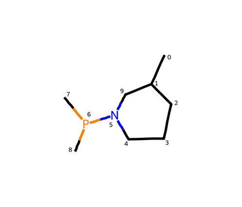 CC1CCCN(P(C)C)C1